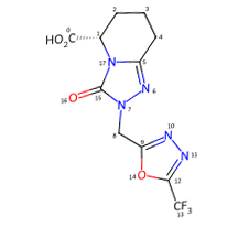 O=C(O)[C@@H]1CCCc2nn(Cc3nnc(C(F)(F)F)o3)c(=O)n21